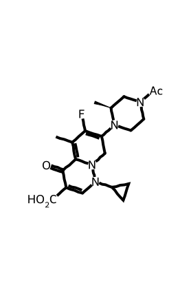 CC(=O)N1CCN(C2=C(F)C(C)=C3C(=O)C(C(=O)O)=CN(C4CC4)N3C2)[C@@H](C)C1